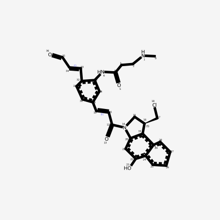 CNCCC(=O)Nc1cc(/C=C/C(=O)N2C[C@@H](CCl)c3c2cc(O)c2ccccc32)ccc1/C=C/C=O